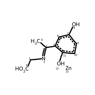 CC(=NCC(=O)O)c1cc(O)ccc1O.[Zn]